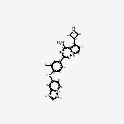 Cc1cc(-c2nc(N)c3c(C4CNC4)ccn3n2)ccc1Oc1ccn2ncnc2c1